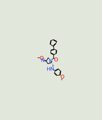 CON=C1C[C@@H](CNc2ccc(OC)cc2)N(C(=O)c2ccc(-c3ccccc3)cc2)C1